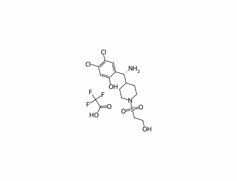 N[C@@H](c1cc(Cl)c(Cl)cc1O)C1CCN(S(=O)(=O)CCO)CC1.O=C(O)C(F)(F)F